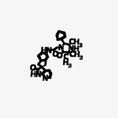 C[C@@H]1NC(C)(C)C(=O)N(CC(=O)Nc2ccc3c(c2)C[C@@]2(C3)C(=O)Nc3ncccc32)[C@H]1c1ccccc1